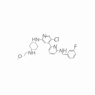 COCCN[C@H]1CC[C@H](Nc2cc(-c3cccc(NCc4cccc(F)c4)n3)c(Cl)cn2)CC1